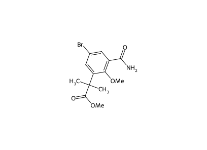 COC(=O)C(C)(C)c1cc(Br)cc(C(N)=O)c1OC